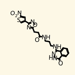 O=C(CCc1nc(-c2csc([N+](=O)[O-])c2)no1)NCCCNc1n[nH]c(=O)c2ccccc12